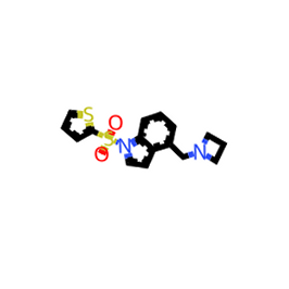 O=S(=O)(c1cccs1)n1ccc2c(CN3CCC3)cccc21